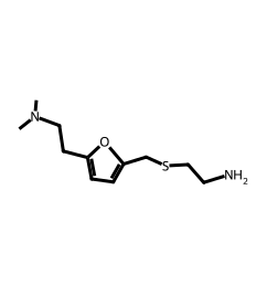 CN(C)CCc1ccc(CSCCN)o1